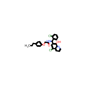 CCCc1ccc(OCC(=O)NC(c2ccccc2Cl)c2cc(Cl)c3cccnc3c2O)cc1